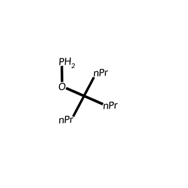 CCCC(CCC)(CCC)OP